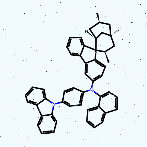 C[C@H]1C[C@@H]2C[C@H](C1)C1(c3ccccc3-c3cc(N(c4ccc(-n5c6ccccc6c6ccccc65)cc4)c4cccc5ccccc45)ccc31)[C@H](C)C2